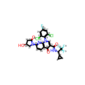 O=C(N[C@H](C1CC1)C(F)(F)F)c1cn(-c2c(Cl)cc(F)cc2Cl)c2nc(N3C[C@@H](O)CC3=O)ccc2c1=O